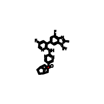 Cc1nc2c(F)cc(-c3cc(F)cnc3Nc3ncc(CN4C5CCC4CC(=O)C5)cn3)cc2n1C(C)C